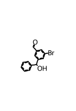 O=Cc1cc(Br)cc(C(O)c2ccccc2)c1